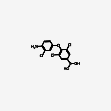 Nc1ccc(Oc2c(Cl)cc(B(O)O)cc2Cl)cc1Cl